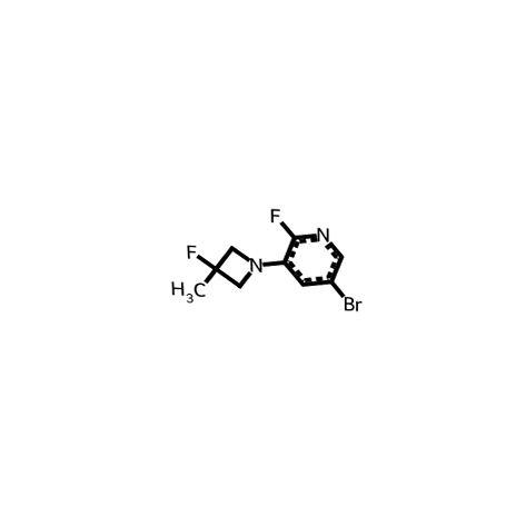 CC1(F)CN(c2cc(Br)cnc2F)C1